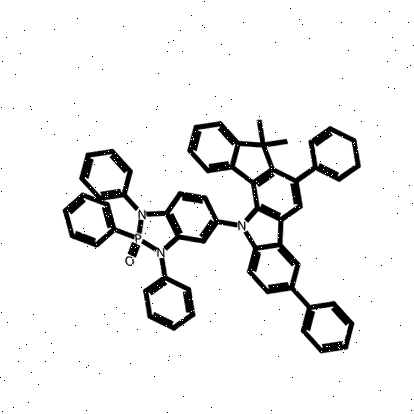 CC1(C)c2ccccc2-c2c1c(C1=CCCC=C1)cc1c3cc(-c4ccccc4)ccc3n(-c3ccc4c(c3)N(c3ccccc3)P(=O)(c3ccccc3)N4c3ccccc3)c21